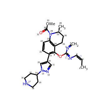 C=N/C(=N\C=C/C)Oc1c(-c2cnn(C3CCNCC3)c2)ccc2c1CC[C@H](C)N2C(=O)OC